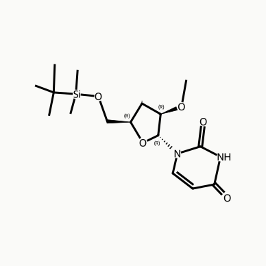 CO[C@@H]1[CH][C@H](CO[Si](C)(C)C(C)(C)C)O[C@H]1n1ccc(=O)[nH]c1=O